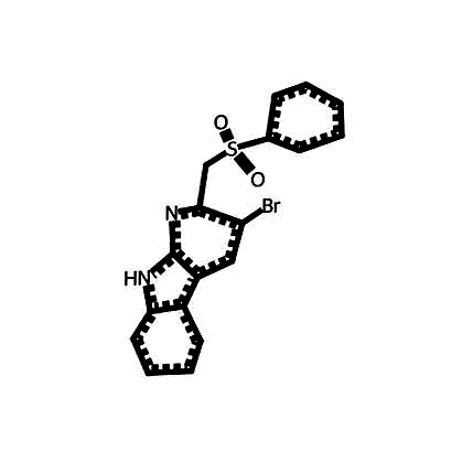 O=S(=O)(Cc1nc2[nH]c3ccccc3c2cc1Br)c1ccccc1